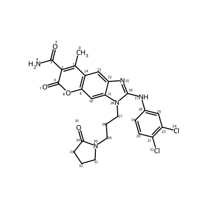 Cc1c(C(N)=O)c(=O)oc2cc3c(cc12)nc(Nc1ccc(Cl)c(Cl)c1)n3CCCN1CCCC1=O